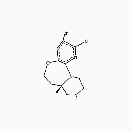 Clc1nc2c(cc1Br)OCC[C@H]1CNCCN21